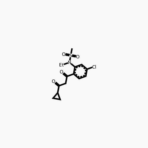 CCN(c1cc(Cl)ccc1C(=O)CC(=O)C1CC1)S(C)(=O)=O